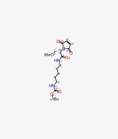 COC[C@@H](C(=O)NCCCCCNC(=O)OC(C)(C)C)N1C(=O)C=CC1=O